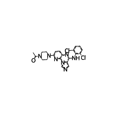 CC(=O)N1CCN(c2ccc3nc(Nc4c(Cl)cccc4Cl)c4cncn4c3n2)CC1